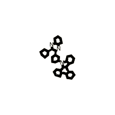 c1ccc(-c2nc3ccccc3nc2-c2cccc(-n3c4ccccc4c4c5ccccc5c5ccccc5c43)c2)cc1